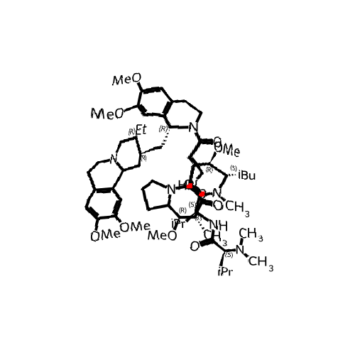 CC[C@H]1CN2CCc3cc(OC)c(OC)cc3C2C[C@@H]1C[C@@H]1c2cc(OC)c(OC)cc2CCN1C(=O)CCNC(=O)[C@H](C)[C@@H](OC)C1CCCN1C(=O)C[C@@H](OC)C([C@@H](C)CC)N(C)C(=O)[C@@H](NC(=O)[C@H](C(C)C)N(C)C)C(C)C